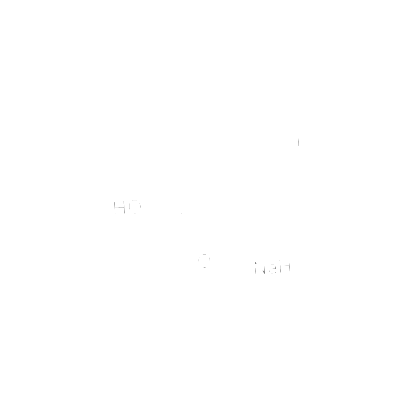 O=C(O)CCI.[NaH]